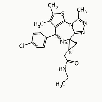 CCNC(=O)C[C@H]1C[C@]12N=C(c1ccc(Cl)cc1)c1c(sc(C)c1C)-n1c(C)nnc12